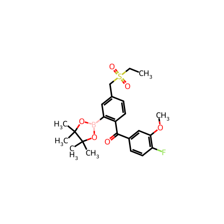 CCS(=O)(=O)Cc1ccc(C(=O)c2ccc(F)c(OC)c2)c(B2OC(C)(C)C(C)(C)O2)c1